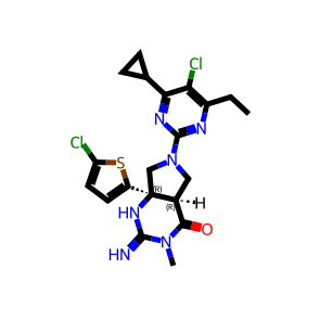 CCc1nc(N2C[C@H]3C(=O)N(C)C(=N)N[C@@]3(c3ccc(Cl)s3)C2)nc(C2CC2)c1Cl